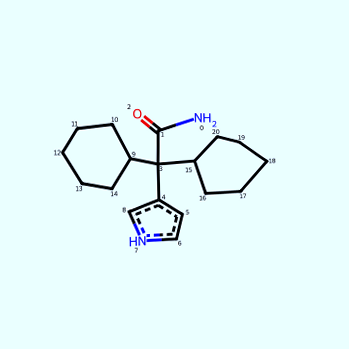 NC(=O)C(c1cc[nH]c1)(C1CCCCC1)C1CCCCC1